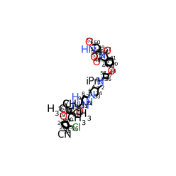 CC(C)N(CC1CCN(c2ccc(C(=O)NC3C(C)(C)C(Oc4ccc(C#N)c(Cl)c4)C3(C)C)nn2)CC1)C1CC(Oc2ccc3c(c2)C(=O)N([C@@H]2CCC(=O)NC2=O)C3=O)C1